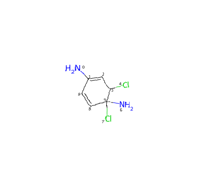 NC1=CC(Cl)C(N)(Cl)C=C1